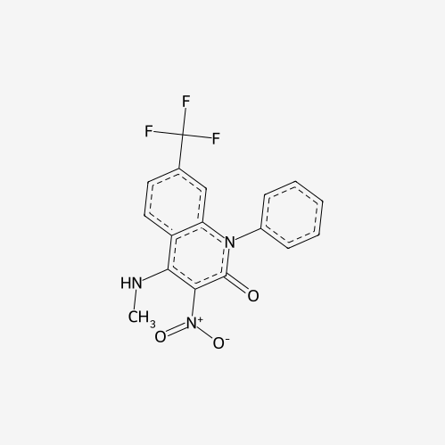 CNc1c([N+](=O)[O-])c(=O)n(-c2ccccc2)c2cc(C(F)(F)F)ccc12